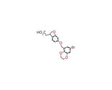 O=C(O)CC1COc2cc(OCc3cc(Br)cc4c3OCCO4)ccc21